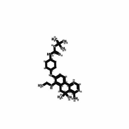 CCNc1c(OC2CCC(NC(=O)OC(C)(C)C)CC2)ccc2c1CC(C)(C)c1c(N)ncnc1-2